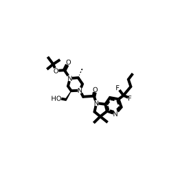 CCCC(F)(F)c1cnc2c(c1)N(C(=O)CN1C[C@@H](C)N(C(=O)OC(C)(C)C)C[C@@H]1CO)CC2(C)C